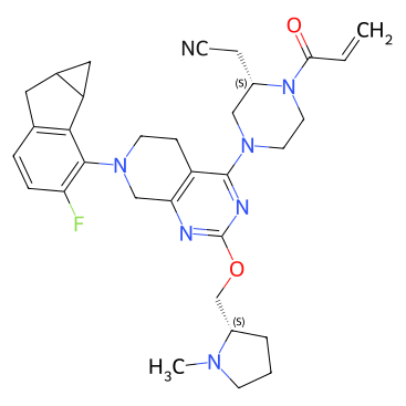 C=CC(=O)N1CCN(c2nc(OC[C@@H]3CCCN3C)nc3c2CCN(c2c(F)ccc4c2C2CC2C4)C3)C[C@@H]1CC#N